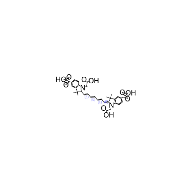 CC1(C)C(/C=C/C=C/C=C/C=C2/N(CC(=O)O)c3ccc(S(=O)(=O)O)cc3C2(C)C)=[N+](CC(=O)O)c2ccc(S(=O)(=O)O)cc21